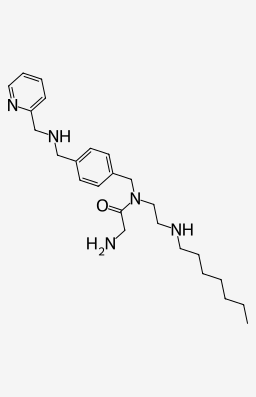 CCCCCCCNCCN(Cc1ccc(CNCc2ccccn2)cc1)C(=O)CN